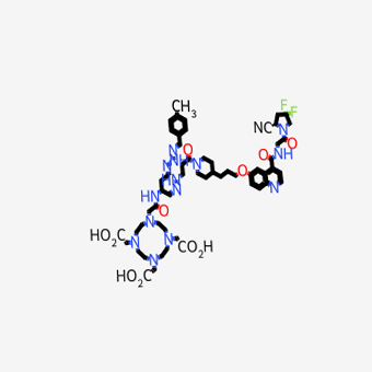 Cc1ccc(/C=N/N/N=C/CC(/C=N\NCCC(=O)N2CCC(CCCOc3ccc4nccc(C(=O)NCC(=O)N5CC(F)(F)C[C@@H]5C#N)c4c3)CC2)NC(=O)CN2CCN(CC(=O)O)CCN(CC(=O)O)CCN(CC(=O)O)CC2)cc1